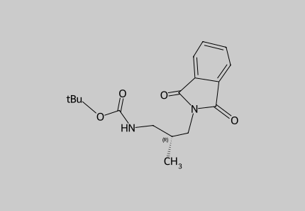 C[C@H](CNC(=O)OC(C)(C)C)CN1C(=O)c2ccccc2C1=O